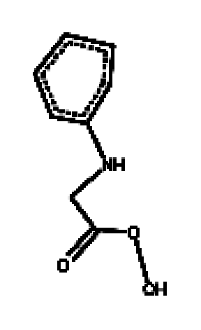 O=C(CNc1ccccc1)OO